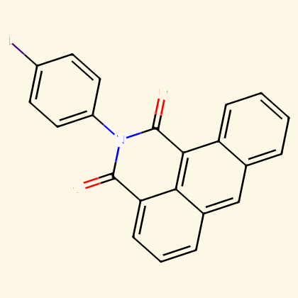 O=C1c2cccc3cc4ccccc4c(c23)C(=O)N1c1ccc(I)cc1